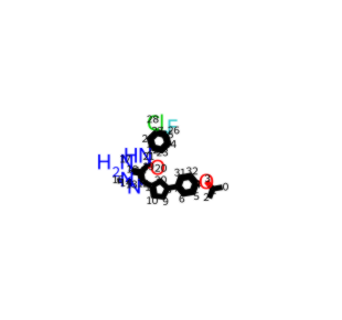 CC(C)Oc1ccc(C2CC=C(c3nn(C)c(N)c3C(=O)Nc3ccc(F)c(Cl)c3)C2)cc1